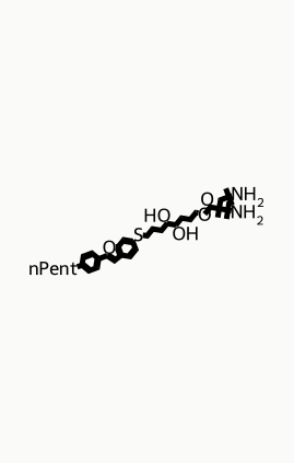 CCCCCc1ccc(-c2cc3ccc(SCCCC(O)C(O)CCCOC(=O)C(C)(CC(C)(C)N)C(C)(C)N)cc3o2)cc1